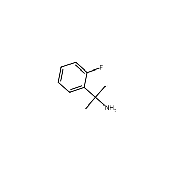 [CH2]C(C)(N)c1ccccc1F